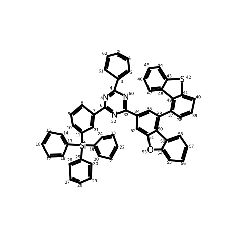 c1ccc(-c2nc(-c3cccc([Si](c4ccccc4)(c4ccccc4)c4ccccc4)c3)nc(-c3cc(-c4cccc5sc6ccccc6c45)c4c(c3)oc3ccccc34)n2)cc1